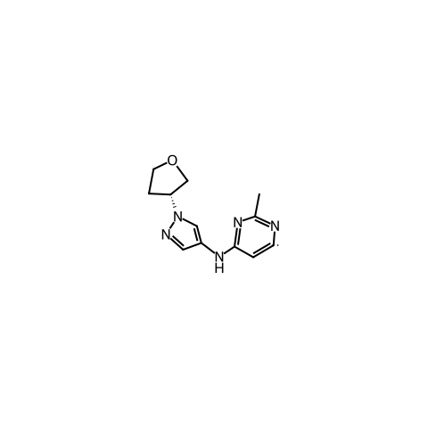 Cc1n[c]cc(Nc2cnn([C@@H]3CCOC3)c2)n1